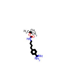 CC(C)(C)OC(=O)NCCCCc1ccc(C(=N)N)cc1